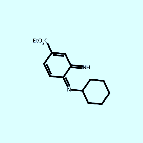 CCOC(=O)C1=CC(=N)/C(=N\C2CCCCC2)C=C1